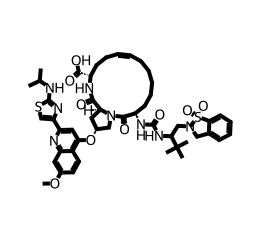 COc1ccc2c(O[C@@H]3C[C@H]4C(=O)N[C@H](C(=O)O)CC/C=C\CCCCC[C@H](NC(=O)NC(CN5Cc6ccccc6S5(=O)=O)C(C)(C)C)C(=O)N4C3)cc(-c3csc(NC(C)C)n3)nc2c1